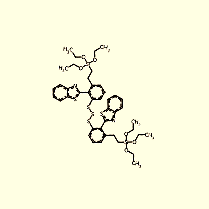 CCO[Si](CCc1cccc(SSSc2cccc(CC[Si](OCC)(OCC)OCC)c2-c2nc3ccccc3s2)c1-c1nc2ccccc2s1)(OCC)OCC